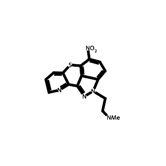 CNCCn1nc2c3c(c([N+](=O)[O-])ccc31)Sc1cccnc1-2